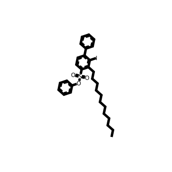 CCCCCCCCCCCCc1c(S(=O)(=O)Oc2ccccc2)ccc(-c2ccccc2)c1I